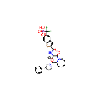 CC(C)(C)[C@H](NC(=O)c1cc2cc(C(F)(F)P(=O)(O)O)ccc2s1)C(=O)N1CCCCC[C@H]1C(=O)N1CC[C@H](c2ccccc2)C1